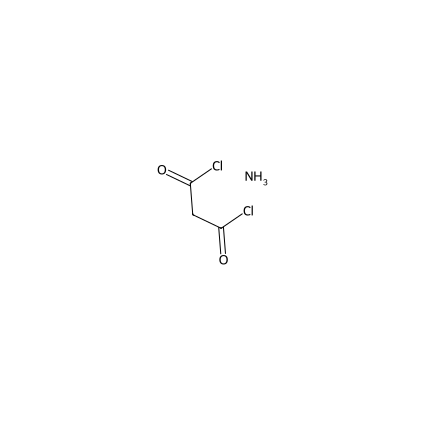 N.O=C(Cl)CC(=O)Cl